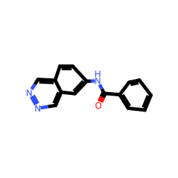 O=C(Nc1ccc2cnncc2c1)c1ccccc1